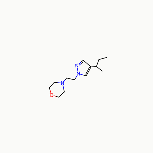 CCC(C)c1cnn(CCN2CCOCC2)c1